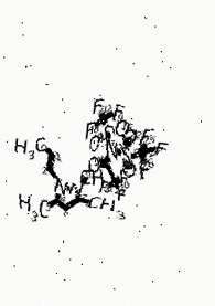 CCCN1C(C)C=C(C)N1C.O=C(N(S(=O)(=O)C(F)(F)F)S(=O)(=O)C(F)(F)F)C(F)(F)F